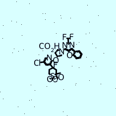 O=C(O)[C@@H]1C[C@H](Oc2ncc(Cl)cc2[C@@]2(F)CCS(=O)(=O)C3(COC3)C2)CN1c1nc(C(F)F)nc2c1oc1ccccc12